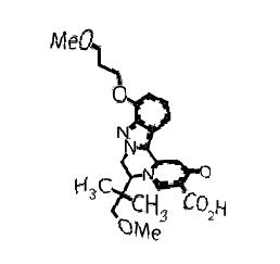 COCCCOc1cccc2c3n(nc12)CC(C(C)(C)COC)n1cc(C(=O)O)c(=O)cc1-3